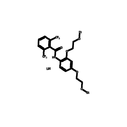 CCOCCOc1ccc(PC(=O)c2c(C(F)(F)F)cccc2C(F)(F)F)c(OCCOCC)c1.[LiH]